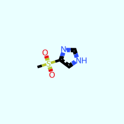 CS(=O)(=O)c1c[nH]cn1